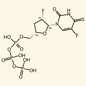 O=c1[nH]c(=S)c(F)cn1[C@@H]1O[C@H](COP(=O)(O)OP(=O)(O)OP(=O)(O)O)C[C@@H]1F